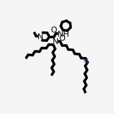 CCCCCCCC/C=C\CCCCCCCC(=O)N(C(CCCCCCCC)CCCCCCCC)C(C(=O)NC1CCCCCC1)C1CCN(CC)CC1